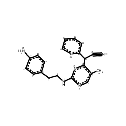 Cc1cnc(NCCc2ccc(N)cc2)nc1C(C#N)c1ccccn1